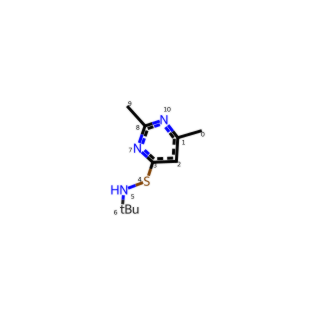 Cc1cc(SNC(C)(C)C)nc(C)n1